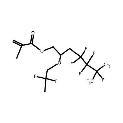 C=C(C)C(=O)OCC(CC(F)(F)C(F)(F)C(F)(C(F)(F)F)C(F)(F)F)OCC(C)(F)F